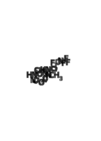 CC(=O)Nc1cc(Oc2ccc3c(c2)nc(Nc2cccc(C4(F)CCN(CC(F)(F)F)CC4)c2)n3C)ccn1